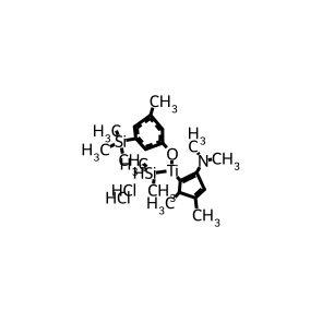 CC1=CC(N(C)C)=[C]([Ti]([O]c2cc(C)cc([Si](C)(C)C)c2)[SiH](C)C)C1C.Cl.Cl